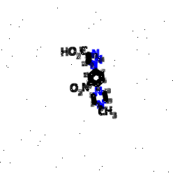 CN1CCN(c2ccc(-n3cc(C(=O)O)nn3)cc2[N+](=O)[O-])CC1